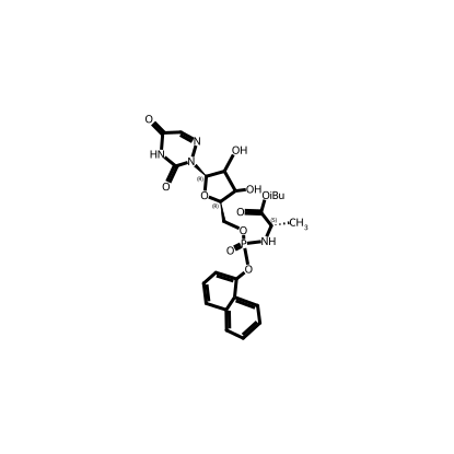 CC(C)COC(=O)[C@H](C)NP(=O)(OC[C@H]1O[C@@H](n2ncc(=O)[nH]c2=O)C(O)C1O)Oc1cccc2ccccc12